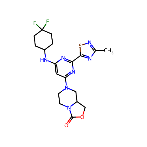 Cc1nsc(-c2nc(NC3CCC(F)(F)CC3)cc(N3CCN4C(=O)OCC4C3)n2)n1